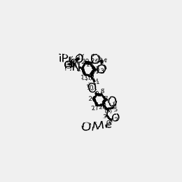 COC(=O)C[C@@H]1COc2cc(OCc3cc(NS(=O)(=O)C(C)C)cc4c3OCO4)ccc21